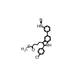 COC(=O)CCCc1c(-c2ccc(Cl)cc2)[nH]c2ccc(-c3cccc(NC#N)c3)cc12